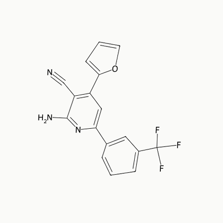 N#Cc1c(-c2ccco2)cc(-c2cccc(C(F)(F)F)c2)nc1N